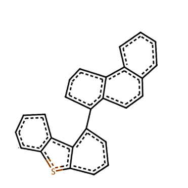 [c]1cccc2c1sc1cccc(-c3cccc4c3ccc3ccccc34)c12